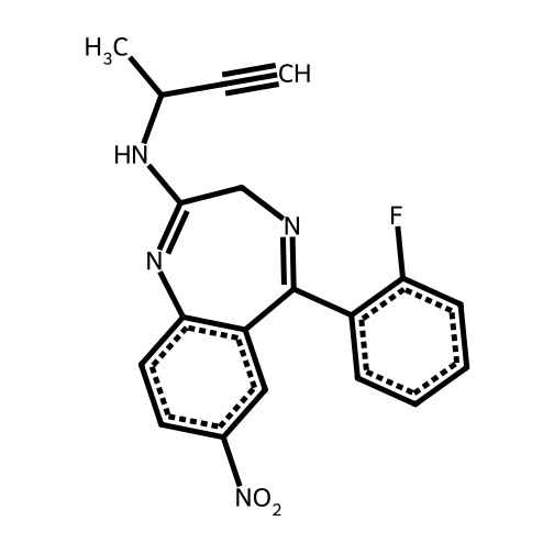 C#CC(C)NC1=Nc2ccc([N+](=O)[O-])cc2C(c2ccccc2F)=NC1